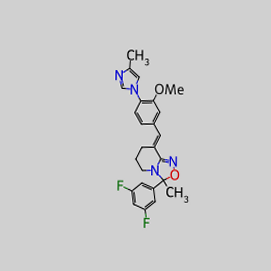 COc1cc(C=C2CCCN3C2=NOC3(C)c2cc(F)cc(F)c2)ccc1-n1cnc(C)c1